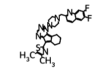 Cc1nc(-c2c3ncnn(N4CCN(Cc5ccc6cc(F)c(F)cc6n5)CC4)c-3c3c2CCCC3)sc1C